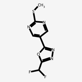 CSc1ncc(-c2nnc(C(F)F)o2)cn1